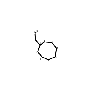 [S]CC1CCCCCCC1